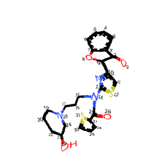 O=C1c2ccccc2OC1c1csc(N(CCCN2CCCC(O)C2)C(=O)c2cccs2)n1